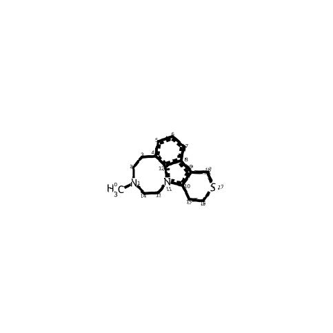 CN1CCc2cccc3c4c(n(c23)CC1)CCSC4